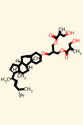 C=C(CO)C(=O)OCC(COC(=O)C(=C)CO)CO[C@H]1CC[C@@]2(C)C(=CC[C@H]3[C@@H]4CC[C@H]([C@H](C)/C=C/[C@H](C)C(C)C)[C@@]4(C)CC[C@@H]32)C1